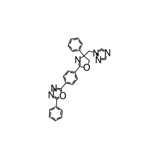 c1ccc(-c2nnc(-c3ccc(C4=NC(Cn5cncn5)(c5ccccc5)CO4)cc3)o2)cc1